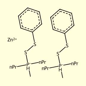 CCC[PH-](C)(CCC)SSc1ccccc1.CCC[PH-](C)(CCC)SSc1ccccc1.[Zn+2]